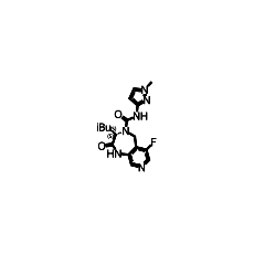 CC[C@H](C)[C@H]1C(=O)Nc2cncc(F)c2CN1C(=O)Nc1ccn(C)n1